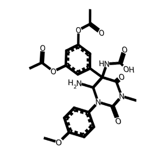 COc1ccc(N2C(=O)N(C)C(=O)C(NC(=O)O)(c3cc(OC(C)=O)cc(OC(C)=O)c3)C2N)cc1